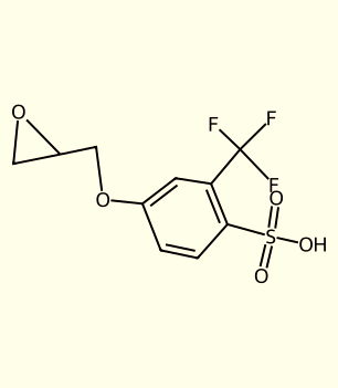 O=S(=O)(O)c1ccc(OCC2CO2)cc1C(F)(F)F